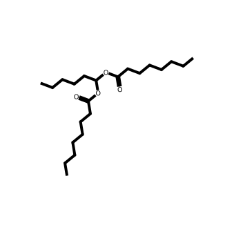 CCCCCCCC(=O)OC(CCCCC)OC(=O)CCCCCCC